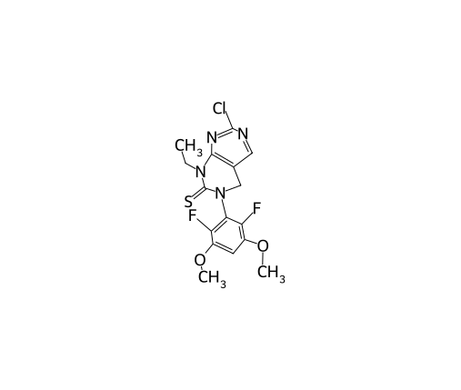 CCN1C(=S)N(c2c(F)c(OC)cc(OC)c2F)Cc2cnc(Cl)nc21